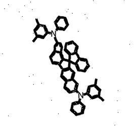 Cc1cc(C)cc(N(c2ccccc2)c2ccc3cc4c(cc3c2)C2(c3ccccc3-c3ccccc32)c2c-4ccc3cc(N(c4ccccc4)c4cc(C)cc(C)c4)ccc23)c1